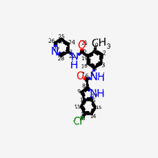 Cc1ccc(NC(=O)c2cc3cc(Cl)ccc3[nH]2)cc1C(=O)Nc1cccnc1